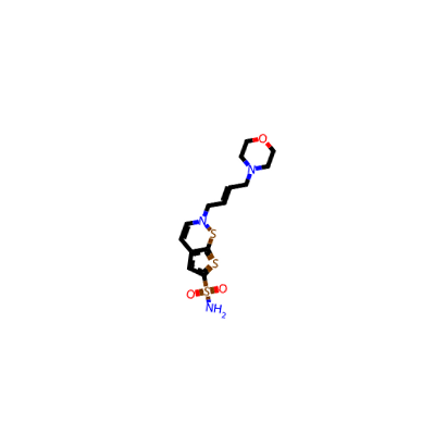 NS(=O)(=O)c1cc2c(s1)SN(CC=CCN1CCOCC1)C=C2